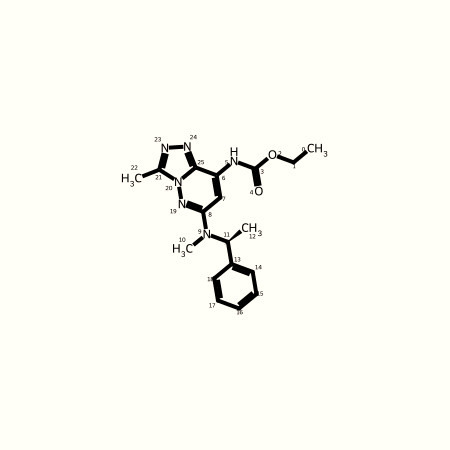 CCOC(=O)Nc1cc(N(C)[C@@H](C)c2ccccc2)nn2c(C)nnc12